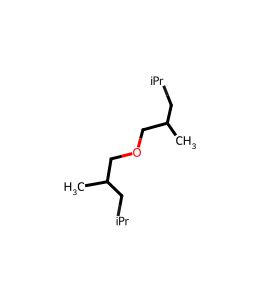 CC(C)CC(C)COCC(C)CC(C)C